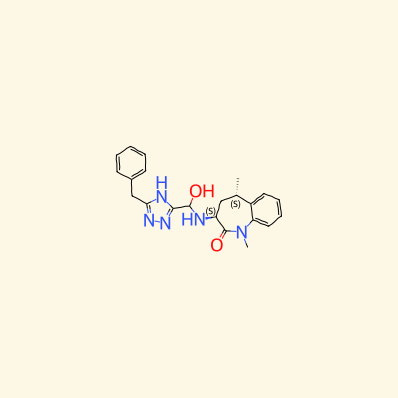 C[C@H]1C[C@H](NC(O)c2nnc(Cc3ccccc3)[nH]2)C(=O)N(C)c2ccccc21